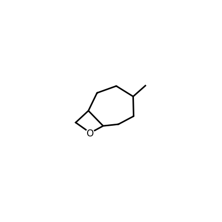 CC1CCC2COC2CC1